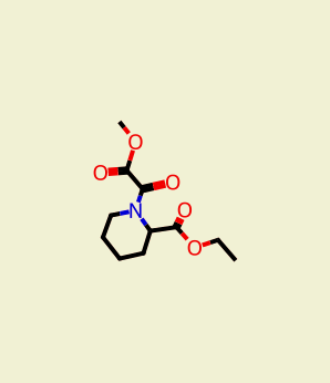 CCOC(=O)C1CCCCN1C(=O)C(=O)OC